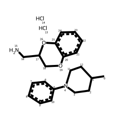 CC1CCN(c2ccccc2)CC1.Cl.Cl.NCC1COc2ccccc2O1